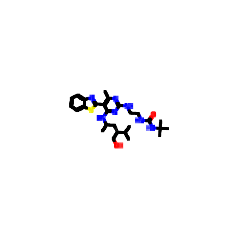 Cc1nc(NCCNC(=O)NC(C)(C)C)nc(NC(C)C[C@H](CO)C(C)C)c1-c1nc2ccccc2s1